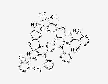 Cc1cccc(C)c1-c1nc2c3c(n1)N(c1ccccc1)c1cc4c(cc1B3c1ccccc1O2)B1c2cc3c(cc2Oc2nc(-c5c(C)cccc5C)nc(c21)N4c1ccccc1)C(C)(C)CC3(C)C